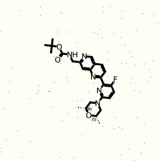 C[C@@H]1CN(c2ccc(F)c(-c3ccc4cnc(CNC(=O)OC(C)(C)C)cc4n3)n2)C[C@H](C)O1